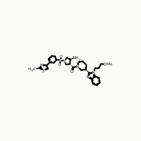 COCCCn1c([C@@H]2CCCN(C(=O)[C@@H]3CN(S(=O)(=O)c4cccc(-c5csc(C)n5)c4)C[C@H]3N)C2)nc2ccccc21